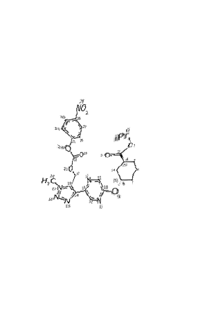 CC(C)OC(=O)[C@H]1CCC[C@H](Oc2cnc(-c3nnn(C)c3COC(=O)Oc3ccc([N+](=O)[O-])cc3)cn2)C1